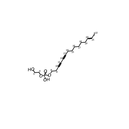 O=P(O)(OCCO)OCCC#CC#CCCCCCC/C=C/I